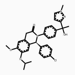 COc1cc2c(cc1OC(C)C)[C@H](c1ccc(Cl)cc1)N(c1ccc(C(C)(O)c3ccn(C)n3)cc1)C(=O)C2